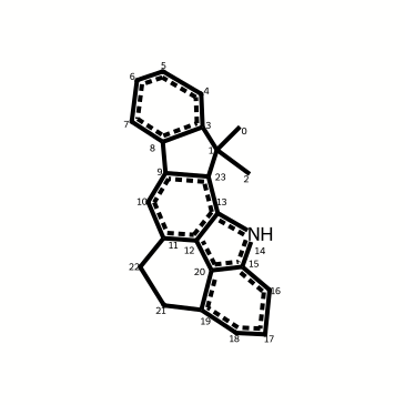 CC1(C)c2ccccc2-c2cc3c4c([nH]c5cccc(c54)CC3)c21